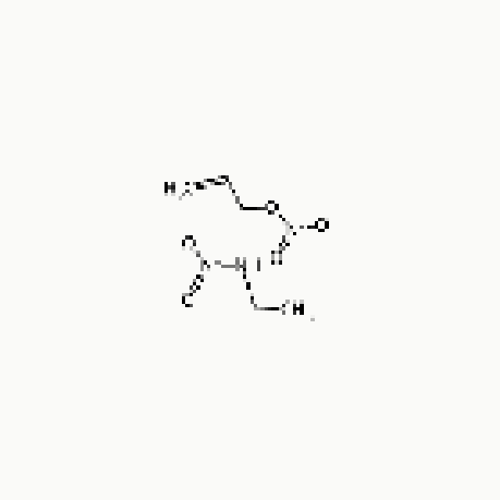 C=CCO[N+](=O)[O-].CCN[N+](=O)[O-]